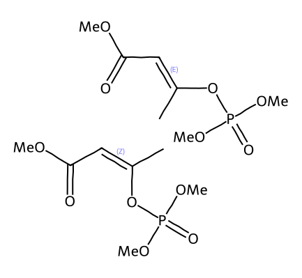 COC(=O)/C=C(/C)OP(=O)(OC)OC.COC(=O)/C=C(\C)OP(=O)(OC)OC